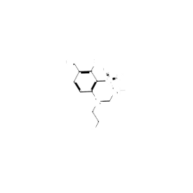 O=S1(=O)NCN(CCF)c2ccc(Cl)c(Cl)c21